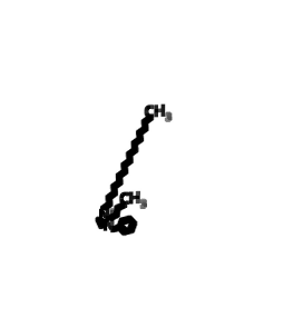 CCCCCCCCCCCCCCCCCCC[n+]1ccn(Cc2ccccc2)c1CCCC